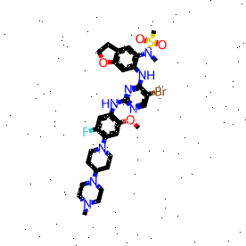 COc1cc(N2CCC(N3CCN(C)CC3)CC2)c(F)cc1Nc1ncc(Br)c(Nc2cc3c(cc2N(C)S(C)(=O)=O)CCO3)n1